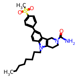 CCCCCCCCn1c2c(c3cc(-c4ccc(S(C)(=O)=O)cc4)ccc31)CN(C(N)=O)CC2